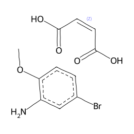 COc1ccc(Br)cc1N.O=C(O)/C=C\C(=O)O